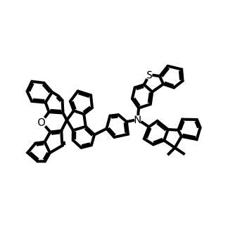 CC1(C)c2ccccc2-c2cc(N(c3ccc(-c4cccc5c4-c4ccccc4C54c5ccc6ccccc6c5Oc5c4ccc4ccccc54)cc3)c3ccc4sc5ccccc5c4c3)ccc21